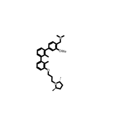 COc1cc(-c2cccc(-c3cccc(OCCCN4[C@H](C)CC[C@H]4C)c3C)c2C)ccc1CN(C)C